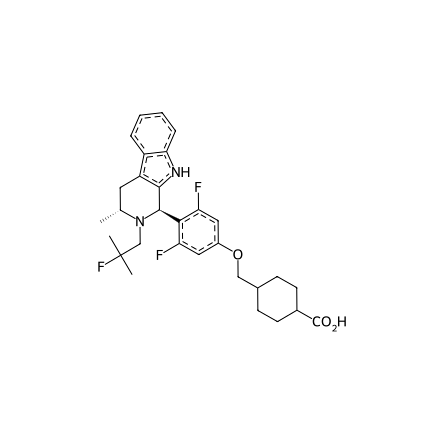 C[C@@H]1Cc2c([nH]c3ccccc23)[C@@H](c2c(F)cc(OCC3CCC(C(=O)O)CC3)cc2F)N1CC(C)(C)F